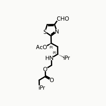 CC(=O)O[C@H](C[C@@H](NCOC(=O)CC(C)C)C(C)C)c1nc(C=O)cs1